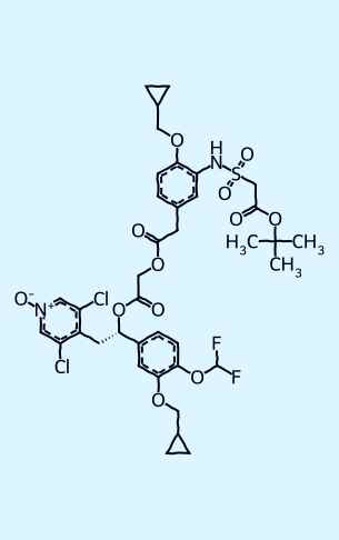 CC(C)(C)OC(=O)CS(=O)(=O)Nc1cc(CC(=O)OCC(=O)O[C@@H](Cc2c(Cl)c[n+]([O-])cc2Cl)c2ccc(OC(F)F)c(OCC3CC3)c2)ccc1OCC1CC1